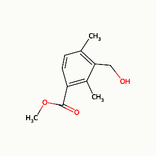 COC(=O)c1ccc(C)c(CO)c1C